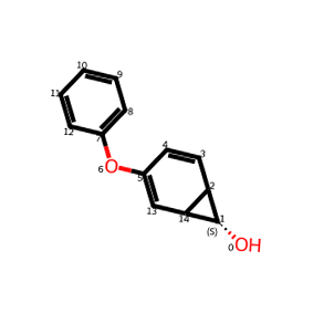 O[C@H]1C2C=CC(Oc3ccccc3)=CC21